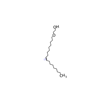 CCCCCCCC/C=C\CCCCCCCCOCCO